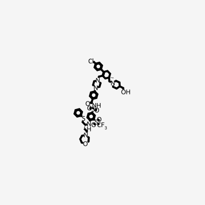 C[C@@]1(CN2CCC(CO)CC2)CCC(c2ccc(Cl)cc2)=C(CN2CCN(c3ccc(C(=O)NS(=O)(=O)c4ccc(N[C@H](CCN5CCCOCC5)CSc5ccccc5)c(S(=O)(=O)C(F)(F)F)c4)cc3)CC2)C1